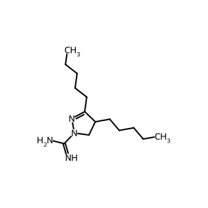 CCCCCC1=NN(C(=N)N)CC1CCCCC